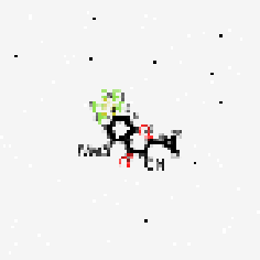 CSc1cc(S(F)(F)(F)(F)F)ccc1C(=O)C(C#N)C(=O)C1CC1